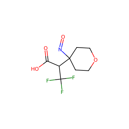 O=NC1(C(C(=O)O)C(F)(F)F)CCOCC1